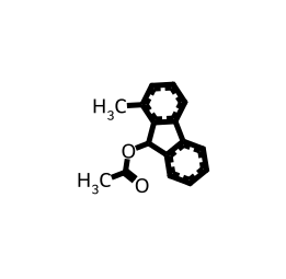 CC(=O)OC1c2ccccc2-c2cccc(C)c21